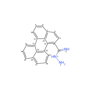 N=C(NN)c1ccc2cccc3c4cccc5cccc(c1c23)c54